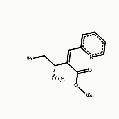 CC(C)C[C@@H](C(=O)O)/C(=C/c1ccccn1)C(=O)OC(C)(C)C